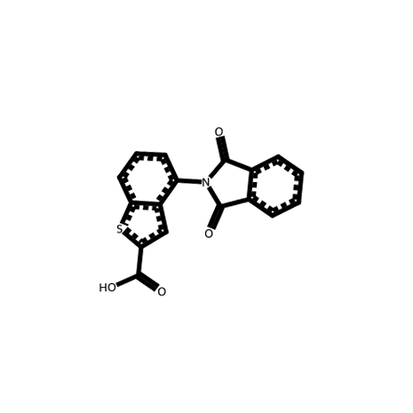 O=C(O)c1cc2c(N3C(=O)c4ccccc4C3=O)cccc2s1